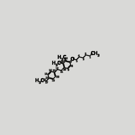 CCCCCCOc1ccc(CCc2ccc(CC)cc2)c(C)c1C